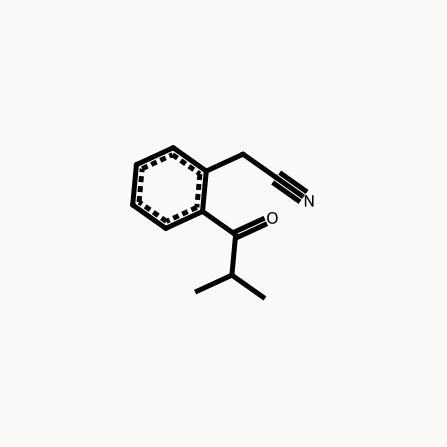 CC(C)C(=O)c1ccccc1CC#N